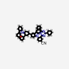 N#Cc1ccc(-n2c3ccccc3c3cc(-c4ccc(-n5c6ccccc6c6ccccc65)c(-c5ccccc5)c4)ccc32)c(-c2nc(-c3ccccc3)nc(-c3ccccc3)n2)c1